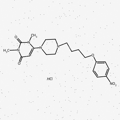 Cl.Cn1c(N2CCN(CCCCOc3ccc([N+](=O)[O-])cc3)CC2)cc(=O)n(C)c1=O